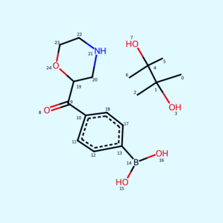 CC(C)(O)C(C)(C)O.O=C(c1ccc(B(O)O)cc1)C1CNCCO1